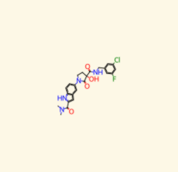 CN(C)C(=O)c1cc2cc(N3CC[C@](O)(C(=O)NCc4cc(F)cc(Cl)c4)C3=O)ccc2[nH]1